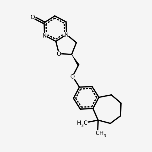 CC1(C)CCCCc2cc(OC[C@@H]3Cn4ccc(=O)nc4O3)ccc21